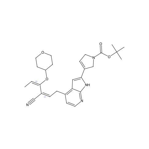 C/C=C(OC1CCOCC1)\C(C#N)=C/Cc1ccnc2[nH]c(C3=CCN(C(=O)OC(C)(C)C)C3)cc12